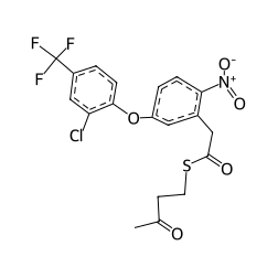 CC(=O)CCSC(=O)Cc1cc(Oc2ccc(C(F)(F)F)cc2Cl)ccc1[N+](=O)[O-]